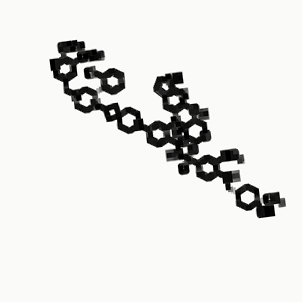 COc1cc(CN2CCN(C3CC4(CCN(c5ccc(C(=O)NS(=O)(=O)c6ccc(NC[C@H]7CC[C@](C)(O)CC7)c([N+](=O)[O-])c6)c(N6c7cc8cc[nH]c8nc7O[C@H]7COCC[C@@H]76)c5)CC4)C3)[C@@H](c3ccccc3Cl)C2)cnc1OC